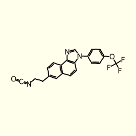 O=C=NCCc1ccc2c(ccc3c2ncn3-c2ccc(OC(F)(F)F)cc2)c1